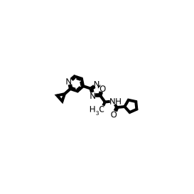 CC(NC(=O)C1CCCC1)c1nc(-c2ccnc(C3CC3)c2)no1